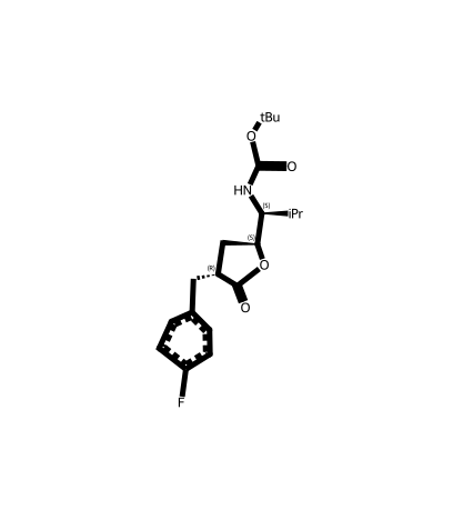 CC(C)[C@H](NC(=O)OC(C)(C)C)[C@@H]1C[C@@H](Cc2ccc(F)cc2)C(=O)O1